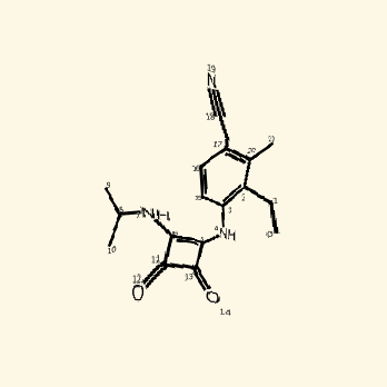 CCc1c(Nc2c(NC(C)C)c(=O)c2=O)ccc(C#N)c1C